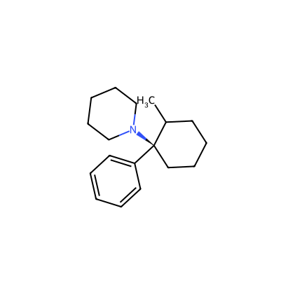 CC1CCCC[C@@]1(c1ccccc1)N1CCCCC1